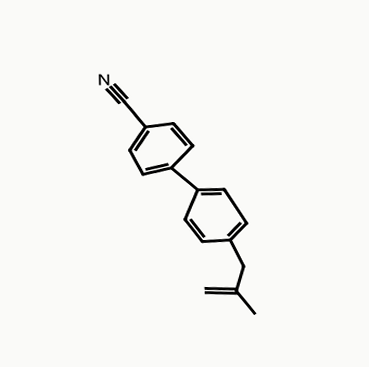 C=C(C)Cc1ccc(-c2ccc(C#N)cc2)cc1